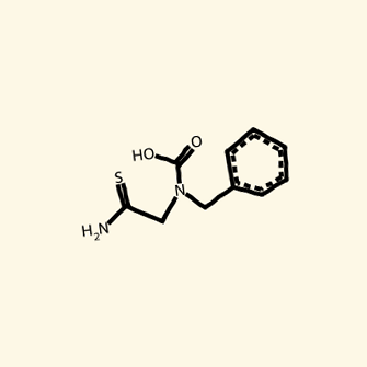 NC(=S)CN(Cc1ccccc1)C(=O)O